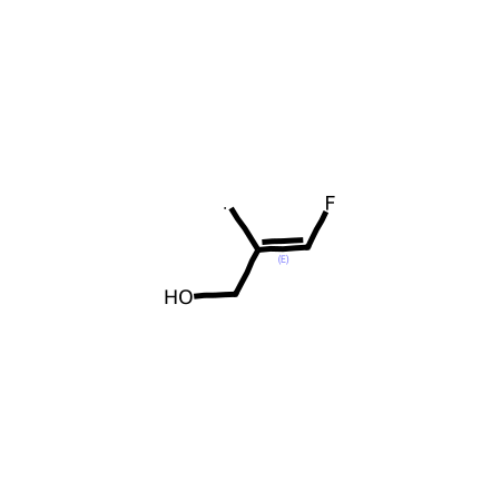 [CH2]/C(=C\F)CO